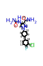 NC(=O)Nc1cn(-c2ccc(-c3ccc(F)c(Cl)c3)cc2)nc1C(N)=O